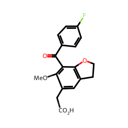 COc1c(CC(=O)O)cc2c(c1C(=O)c1ccc(F)cc1)OCC2